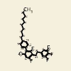 CCCCCCCCCCc1ccc(-c2c([O])cc(F)c(CCc3cc(F)c(F)c(F)c3)c2F)cc1